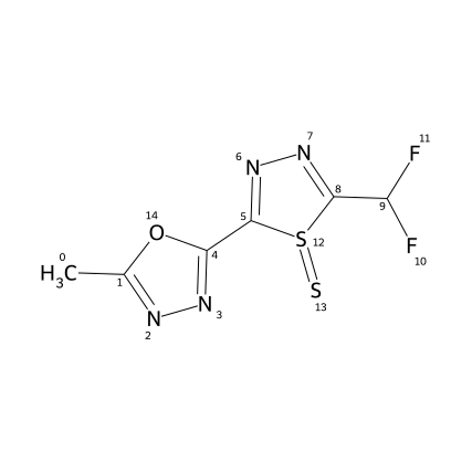 Cc1nnc(C2=NN=C(C(F)F)S2=S)o1